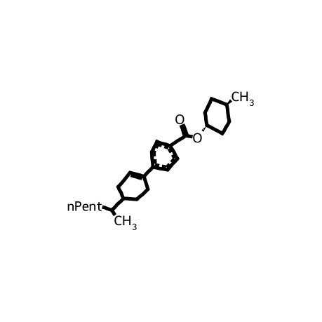 CCCCCC(C)C1CC=C(c2ccc(C(=O)O[C@H]3CC[C@H](C)CC3)cc2)CC1